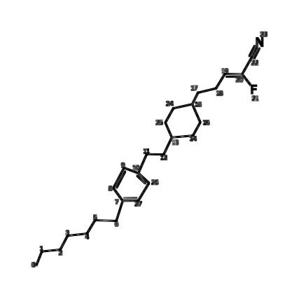 CCCCCCCc1ccc(CCC2CCC(CCC=C(F)C#N)CC2)cc1